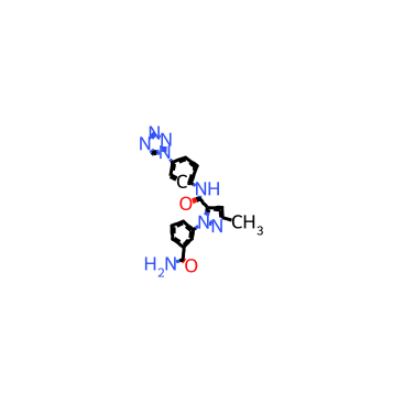 Cc1cc(C(=O)Nc2ccc(-n3cnnn3)cc2)n(-c2cccc(C(N)=O)c2)n1